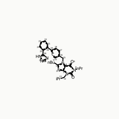 CCCCc1nc2c(c(=O)n(CCC)c(=O)n2CC(C)C)n1Cc1ccc(-c2ccccc2-c2nnn[nH]2)cc1